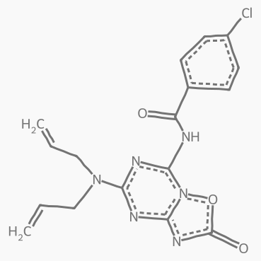 C=CCN(CC=C)c1nc(NC(=O)c2ccc(Cl)cc2)n2oc(=O)nc2n1